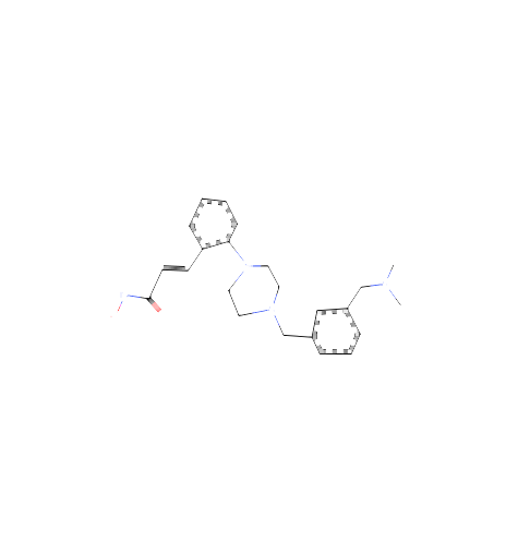 CN(C)Cc1cccc(CN2CCN(c3ccccc3/C=C/C(=O)NO)CC2)c1